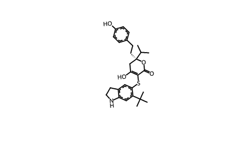 CC(C)[C@]1(CCc2ccc(O)cc2)CC(O)=C(Sc2cc3c(cc2C(C)(C)C)NCC3)C(=O)O1